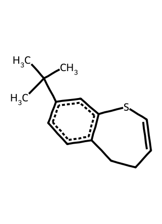 CC(C)(C)c1ccc2c(c1)SC=CCC2